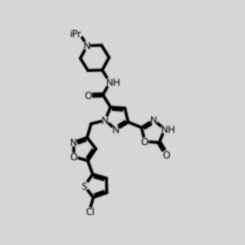 CC(C)N1CCC(NC(=O)c2cc(-c3n[nH]c(=O)o3)nn2Cc2cc(-c3ccc(Cl)s3)on2)CC1